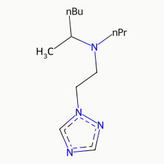 CCCCC(C)N(CCC)CCn1cncn1